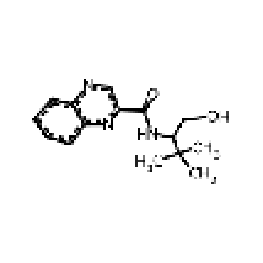 CC(C)(C)C(CO)NC(=O)c1cnc2ccccc2n1